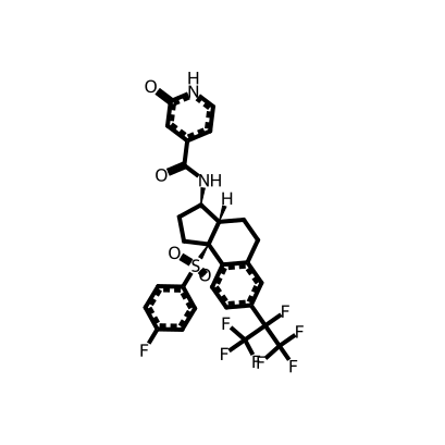 O=C(N[C@@H]1CC[C@@]2(S(=O)(=O)c3ccc(F)cc3)c3ccc(C(F)(C(F)(F)F)C(F)(F)F)cc3CC[C@@H]12)c1cc[nH]c(=O)c1